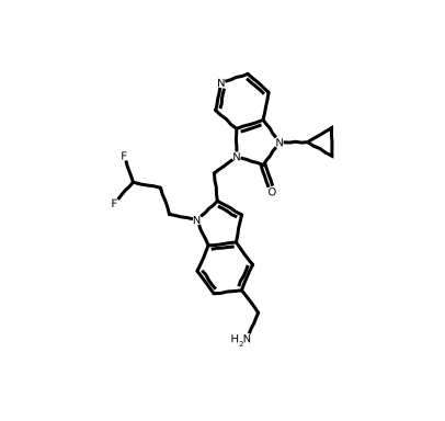 NCc1ccc2c(c1)cc(Cn1c(=O)n(C3CC3)c3ccncc31)n2CCC(F)F